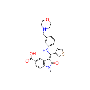 CN1C(=O)C(=C(Nc2cccc(CN3CCOCC3)c2)c2ccsc2)c2cc(C(=O)O)ccc21